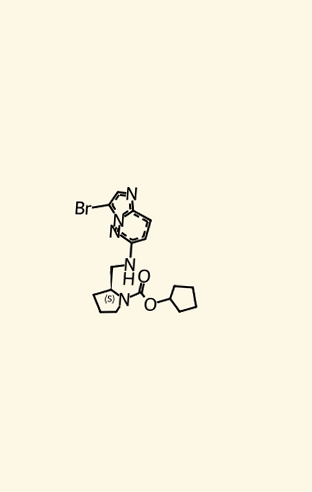 O=C(OC1CCCC1)N1CCC[C@H]1CNc1ccc2ncc(Br)n2n1